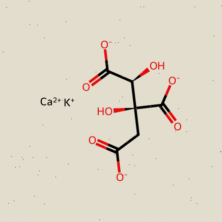 O=C([O-])C[C@@](O)(C(=O)[O-])[C@H](O)C(=O)[O-].[Ca+2].[K+]